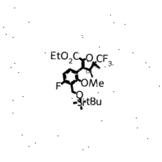 CCOC(=O)C1=C(c2ccc(F)c(CO[Si](C)(C)C(C)(C)C)c2OC)[C@H](C)[C@](C)(C(F)(F)F)O1